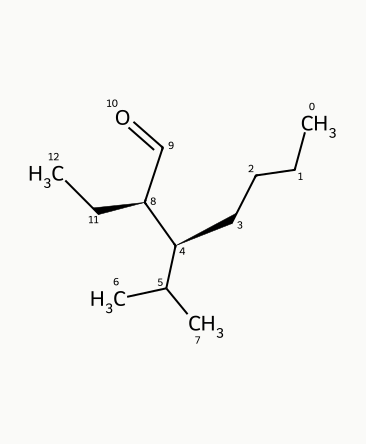 CCCC[C@@H](C(C)C)[C@H](C=O)CC